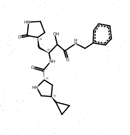 O=C(NCc1ccccc1)C(O)[C@H](C[C@@H]1CCNC1=O)NC(=O)[C@@H]1C[C@@H](C2CC2)CN1